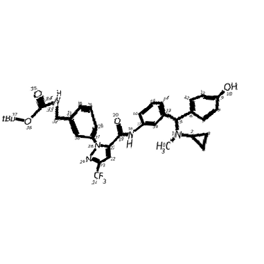 CN(C1CC1)C(c1ccc(O)cc1)c1cccc(NC(=O)c2cc(C(F)(F)F)nn2-c2cccc(CNC(=O)OC(C)(C)C)c2)c1